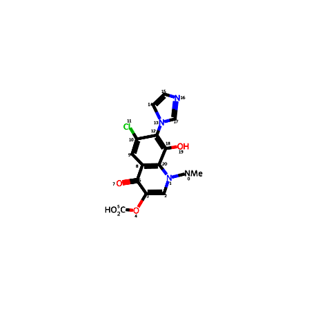 CNn1cc(OC(=O)O)c(=O)c2cc(Cl)c(-n3ccnc3)c(O)c21